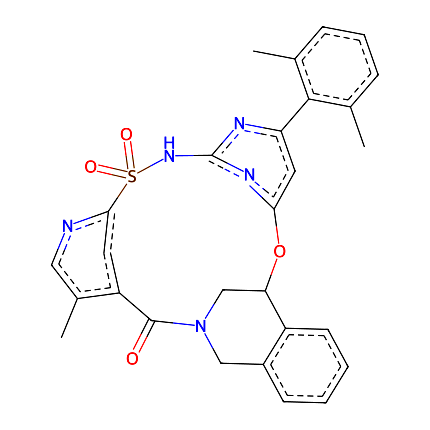 Cc1cnc2cc1C(=O)N1Cc3ccccc3C(C1)Oc1cc(-c3c(C)cccc3C)nc(n1)NS2(=O)=O